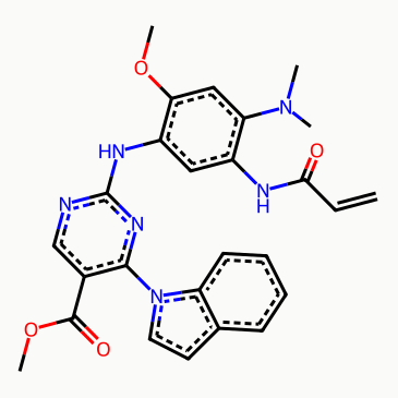 C=CC(=O)Nc1cc(Nc2ncc(C(=O)OC)c(-n3ccc4ccccc43)n2)c(OC)cc1N(C)C